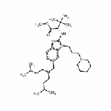 COC(=O)[C@@H](Nc1nc2ccc(CN(CCC(C)C)CCC(C)C)cc2n1CCCN1CCCCC1)C(C)(C)C